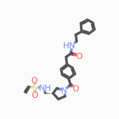 C=CS(=O)(=O)NC[C@H]1CCN(C(=O)c2ccc(CC(=O)NCCc3ccccc3)cc2)C1